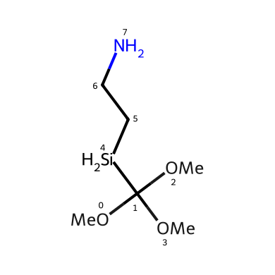 COC(OC)(OC)[SiH2]CCN